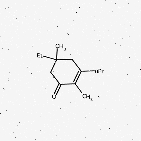 CCCC1=C(C)C(=O)CC(C)(CC)C1